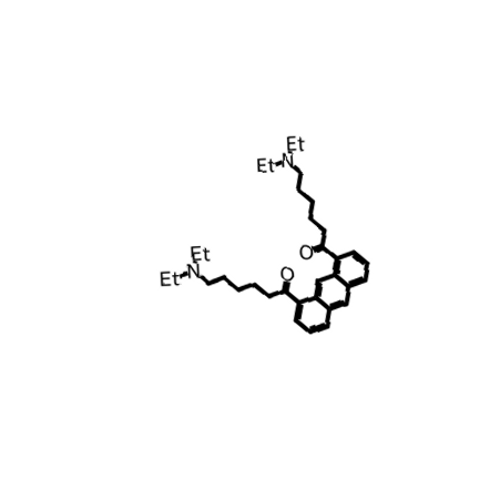 CCN(CC)CCCCCC(=O)c1cccc2cc3cccc(C(=O)CCCCCN(CC)CC)c3cc12